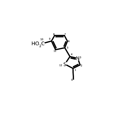 Cc1cnc(-c2cccc(C(=O)O)c2)s1